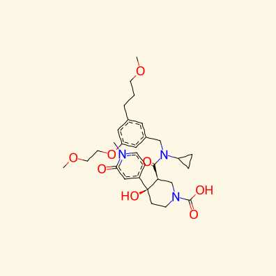 COCCCc1cc(CN(C(=O)[C@H]2CN(C(=O)O)CC[C@]2(O)c2ccn(C)c(=O)c2)C2CC2)cc(OCCOC)c1